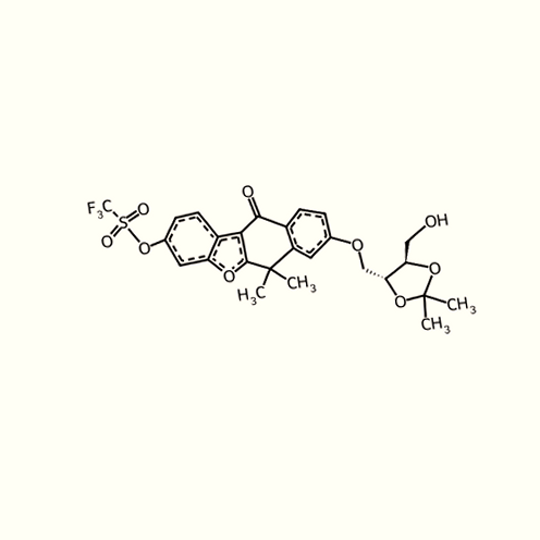 CC1(C)O[C@H](CO)[C@@H](COc2ccc3c(c2)C(C)(C)c2oc4cc(OS(=O)(=O)C(F)(F)F)ccc4c2C3=O)O1